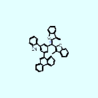 C=c1/c(=C(/c2cc(-c3ccccc3C#N)cc(-c3cc4ccccc4c4ccccc34)c2)c2oc3ccccc3c2C)oc2ccccc12